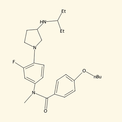 CCCCOc1ccc(C(=O)N(C)c2ccc(N3CCC(NC(CC)CC)C3)c(F)c2)cc1